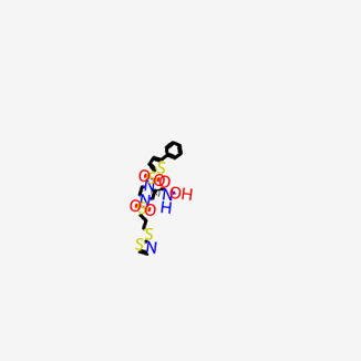 O=C(NO)[C@H]1CN(S(=O)(=O)CCCSc2nccs2)CCN1S(=O)(=O)c1ccc(-c2ccccc2)s1